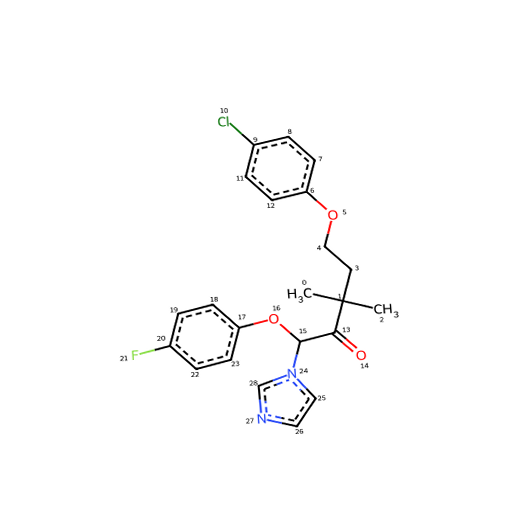 CC(C)(CCOc1ccc(Cl)cc1)C(=O)C(Oc1ccc(F)cc1)n1ccnc1